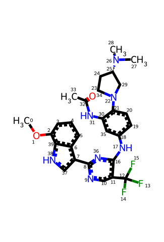 COc1cccc2c(-c3ncc(C(F)(F)F)c(Nc4ccc(N5CC[C@H](N(C)C)C5)c(NC(C)=O)c4)n3)c[nH]c12